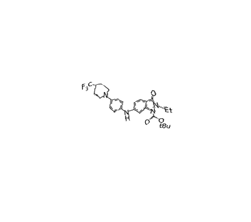 CCn1c(=O)c2ccc(Nc3ccc(N4CCC(C(F)(F)F)CC4)cc3)cc2n1C(=O)OC(C)(C)C